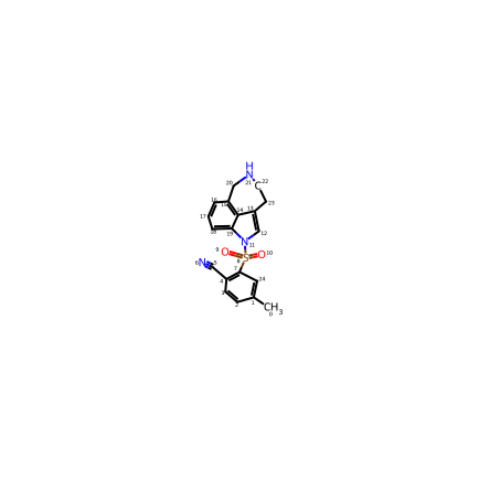 Cc1ccc(C#N)c(S(=O)(=O)n2cc3c4c(cccc42)CNCC3)c1